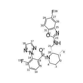 C[C@@H]1CCCN(C(=O)c2cccc(F)c2-n2nccn2)[C@@H]1CNc1nc2cc(F)ccc2o1